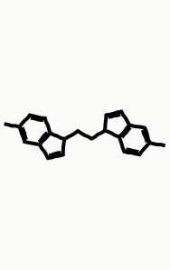 Cc1ccc2c(c1)C=CC2CCC1C=Cc2cc(C)ccc21